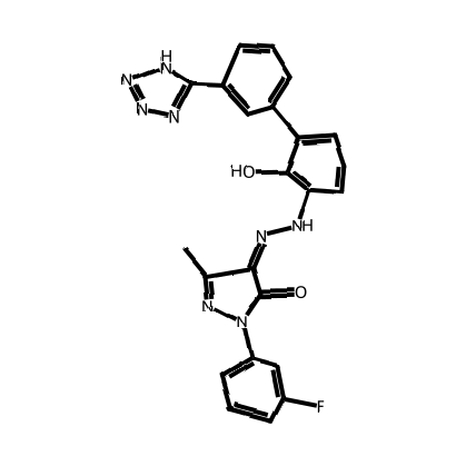 CC1=NN(c2cccc(F)c2)C(=O)C1=NNc1cccc(-c2cccc(-c3nnn[nH]3)c2)c1O